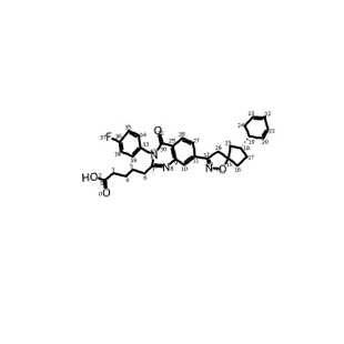 O=C(O)CCCCc1nc2cc(C3=NOC4(CC[C@@H](C5C=CC=CC5)C4)C3)ccc2c(=O)n1-c1ccc(F)cc1